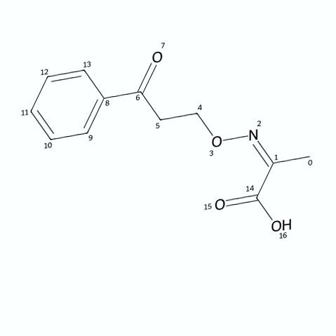 CC(=NOCCC(=O)c1ccccc1)C(=O)O